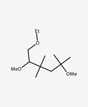 CCOCC(OC)C(C)(C)CC(C)(C)OC